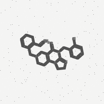 C=CC1=C(CN2CCC3=C(C2)C(=O)N(Cc2ccccc2Cl)C2=NCCN23)C=CCC1